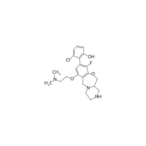 CN(C)CCOc1cc(-c2c(O)cccc2Cl)c(F)c2c1CN1CCNCC1CO2